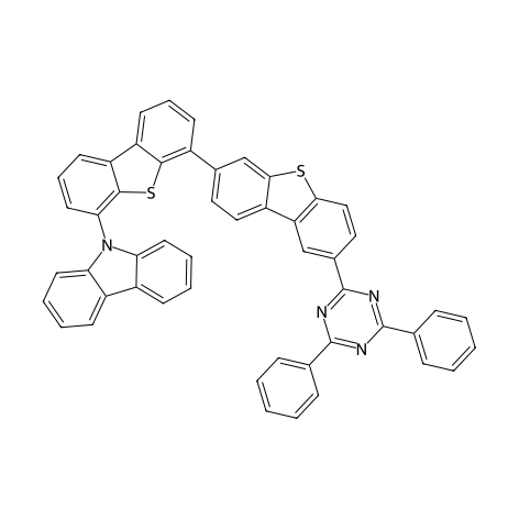 c1ccc(-c2nc(-c3ccccc3)nc(-c3ccc4sc5cc(-c6cccc7c6sc6c(-n8c9ccccc9c9ccccc98)cccc67)ccc5c4c3)n2)cc1